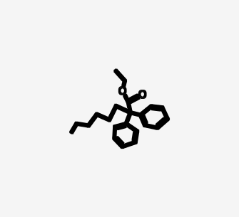 CCCCCCC(C(=O)OCC)(c1ccccc1)c1ccccc1